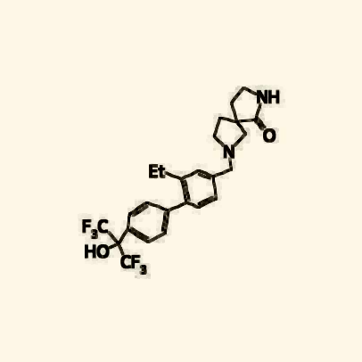 CCc1cc(CN2CCC3(CCNC3=O)C2)ccc1-c1ccc(C(O)(C(F)(F)F)C(F)(F)F)cc1